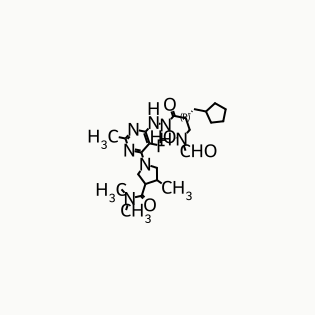 Cc1nc(NNC(=O)[C@H](CC2CCCC2)CN(O)C=O)c(F)c(N2CC(C)C(C(=O)N(C)C)C2)n1